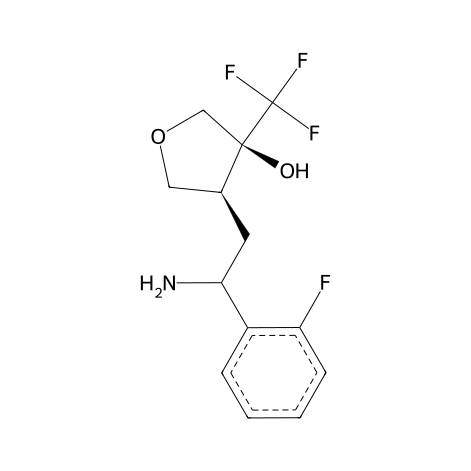 NC(C[C@H]1COC[C@]1(O)C(F)(F)F)c1ccccc1F